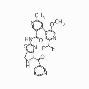 COc1cnc(C(F)F)cc1-c1cc(C)ncc1C(=O)Nc1nc2c(s1)CNC2C(=O)c1cccnc1